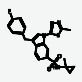 Cc1nnc(-n2cc(Cc3ccc(F)cc3)c3ccc(S(=O)(=O)NC4(C)CC4)cc32)s1